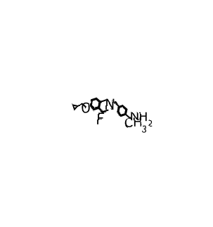 CC(N)c1ccc(CN2Cc3ccc(OCC4CC4)cc3[C@H](F)C2)cc1